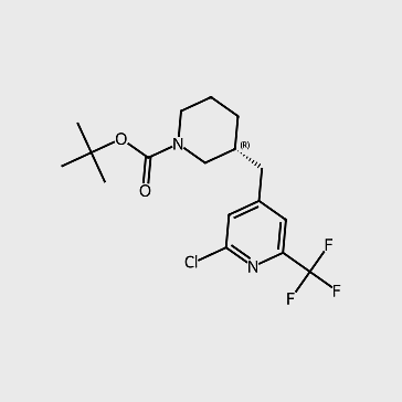 CC(C)(C)OC(=O)N1CCC[C@H](Cc2cc(Cl)nc(C(F)(F)F)c2)C1